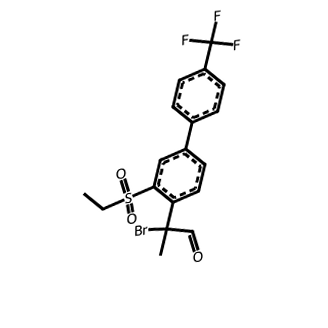 CCS(=O)(=O)c1cc(-c2ccc(C(F)(F)F)cc2)ccc1C(C)(Br)C=O